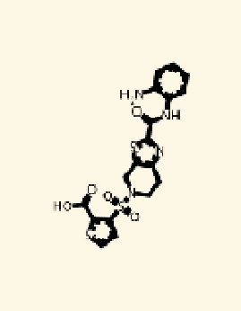 Nc1ccccc1NC(=O)c1nc2c(s1)CN(S(=O)(=O)c1ccsc1C(=O)O)CC2